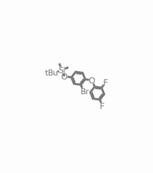 CC(C)(C)[Si](C)(C)Oc1ccc(Oc2ccc(F)cc2F)c(Br)c1